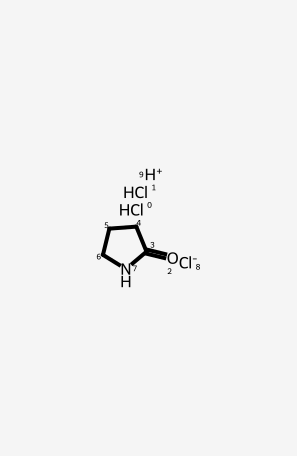 Cl.Cl.O=C1CCCN1.[Cl-].[H+]